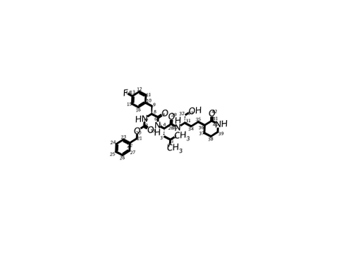 CC(C)C[C@H](NC(=O)[C@H](Cc1ccc(F)cc1)NC(=O)OCc1ccccc1)C(=O)N[C@H](CO)CCC1CCCNC1=O